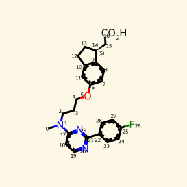 CN(CCCOc1ccc2c(c1)CC[C@H]2CC(=O)O)c1ccnc(-c2ccc(F)cc2)n1